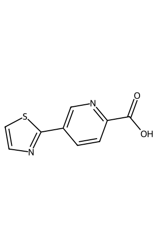 O=C(O)c1ccc(-c2nccs2)cn1